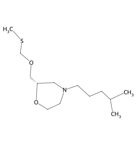 CSCOC[C@@H]1CN(CCCC(C)C)CCO1